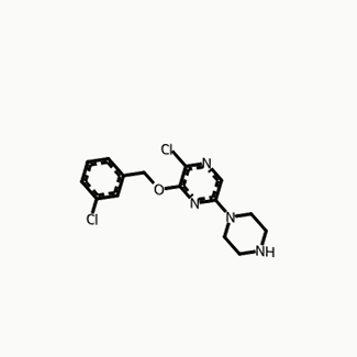 Clc1cccc(COc2nc(N3CCNCC3)cnc2Cl)c1